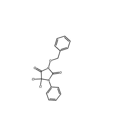 O=C1N(OCc2ccccc2)C(=O)C(Cl)(Cl)N1c1ccccc1